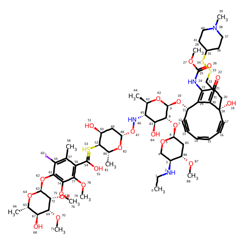 CCN[C@H]1CO[C@@H](O[C@H]2[C@H](O[C@H]3C#C/C=C\C#C[C@]4(O)CC(=O)C(NC(=O)OC)=C3/C4=C\CSSC3CCN(C)CC3)O[C@H](C)[C@@H](NO[C@H]3C[C@H](O)[C@H]([SH]=C(O)c4c(C)c(I)c(O[C@@H]5O[C@@H](C)[C@H](O)[C@@H](OC)[C@H]5O)c(OC)c4OC)[C@@H](C)O3)[C@@H]2O)C[C@@H]1OC